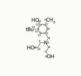 Cc1cc(CN(CCO)CCO)cc(C(C)(C)C)c1O